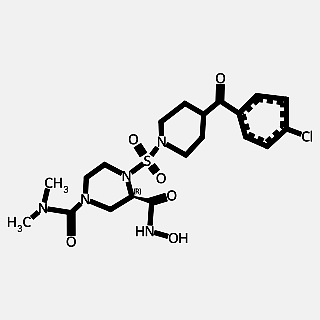 CN(C)C(=O)N1CCN(S(=O)(=O)N2CCC(C(=O)c3ccc(Cl)cc3)CC2)[C@@H](C(=O)NO)C1